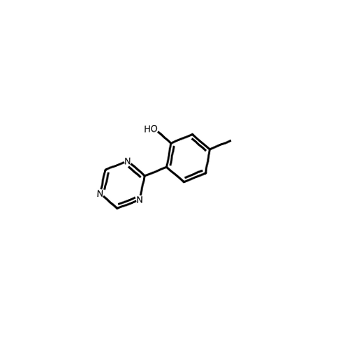 Cc1ccc(-c2ncncn2)c(O)c1